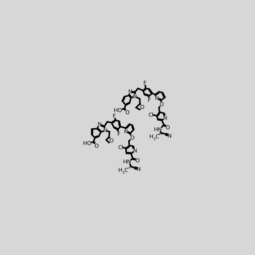 C[C@@H](C#N)NC(=O)c1cc(Cl)c(COc2cccc(-c3cc(F)c(Cc4nc5ccc(C(=O)O)cc5n4CC4CCO4)cc3F)n2)cn1.C[C@@H](C#N)NC(=O)c1cc(Cl)c(COc2cccc(-c3cc(F)c(Cc4nc5ccc(C(=O)O)cc5n4CC4CCO4)cc3F)n2)cn1